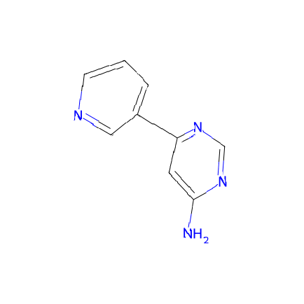 Nc1cc(-c2cccnc2)ncn1